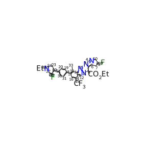 CCOC(=O)C(c1ncn2c1C[C@@H](F)C2)n1cc2c(C(F)(F)F)cc(-c3ccc([C@@H]4CCN(CC)C[C@H]4F)cc3)c(C)c2n1